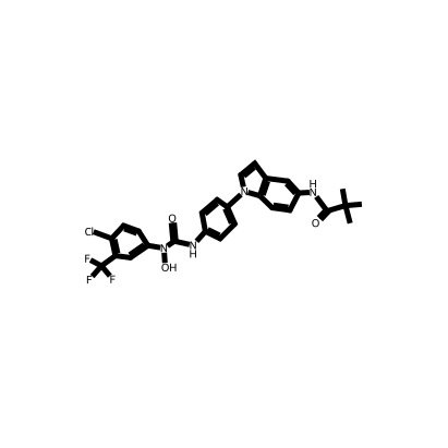 CC(C)(C)C(=O)Nc1ccc2c(ccn2-c2ccc(NC(=O)N(O)c3ccc(Cl)c(C(F)(F)F)c3)cc2)c1